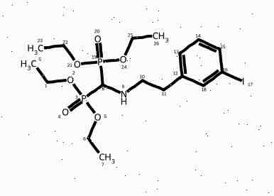 CCOP(=O)(OCC)C(NCCc1cccc(I)c1)P(=O)(OCC)OCC